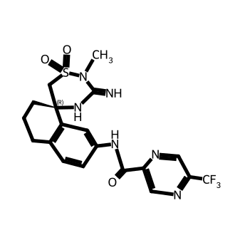 CN1C(=N)N[C@@]2(CCCc3ccc(NC(=O)c4cnc(C(F)(F)F)cn4)cc32)CS1(=O)=O